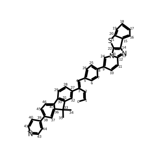 C/C=C\C(=C/c1ccc(-c2ccc3nc4c5ccccc5sc4n3c2)cc1)c1ccc2c(c1)C(C)(C)c1cc(-c3ccncc3)ccc1-2